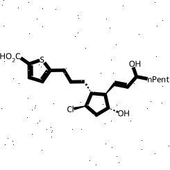 CCCCCC(O)C=C[C@@H]1[C@@H](CCCc2ccc(C(=O)O)s2)[C@H](Cl)C[C@H]1O